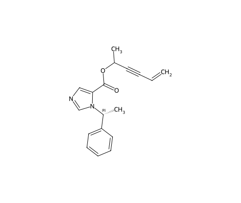 C=CC#CC(C)OC(=O)c1cncn1[C@H](C)c1ccccc1